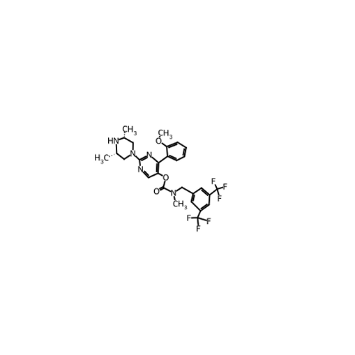 COc1ccccc1-c1nc(N2C[C@@H](C)N[C@@H](C)C2)ncc1OC(=O)N(C)Cc1cc(C(F)(F)F)cc(C(F)(F)F)c1